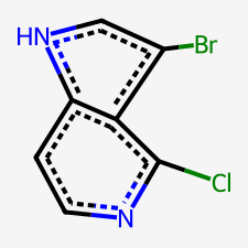 Clc1nccc2[nH]cc(Br)c12